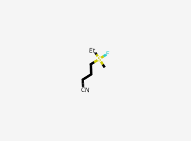 CCS(C)(F)CCCC#N